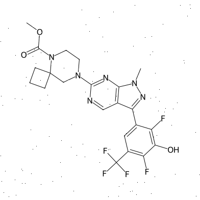 COC(=O)N1CCN(c2ncc3c(-c4cc(C(F)(F)F)c(F)c(O)c4F)nn(C)c3n2)CC12CCC2